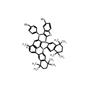 Cc1cc2c3c(c1)N(c1ccc(C(C)(C)C)cc1)c1c(oc4ccc(C(C)(C)C)cc14)B3c1cc3c(cc1N2c1cc2c(cc1-c1ccc(C(F)(F)F)cc1)C(C)(C)CCC2(C)C)C(C)(C)CCC3(C)C